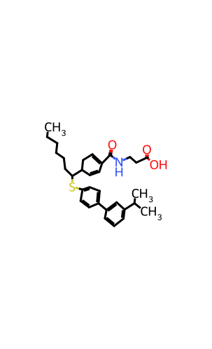 CCCCCCC(Sc1ccc(-c2cccc(C(C)C)c2)cc1)C1C=CC(C(=O)NCCC(=O)O)=CC1